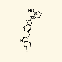 O[C@@H]1CCCC[C@H]1Nc1nc2ccc(Cn3cnc4cc(F)ccc43)cc2s1